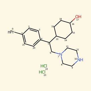 CCCc1ccc(C(CN2CCNCC2)C2CCC(O)CC2)cc1.Cl.Cl